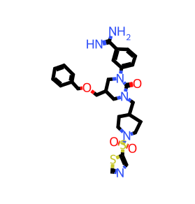 N=C(N)c1cccc(N2CC(COCc3ccccc3)CN(CC3CCN(S(=O)(=O)c4cncs4)CC3)C2=O)c1